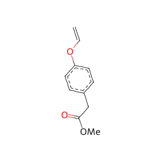 C=COc1ccc(CC(=O)OC)cc1